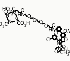 COc1cc2c(cc1-c1cccc(NC(=O)CCOCCOCCOCCOCCNC(=O)CCC(C(=O)O)N3CCN(CC(=O)O)CCN(CC(=O)O)CCN(CC(=O)O)CC3)c1)-c1c(c(C(=O)N3CCOCC3(C)C)nn1-c1cc(Cl)cc(Cl)c1)CO2